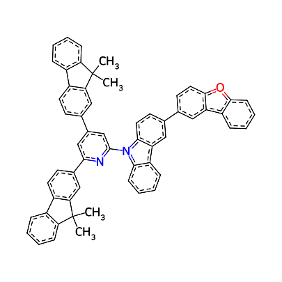 CC1(C)c2ccccc2-c2ccc(-c3cc(-c4ccc5c(c4)C(C)(C)c4ccccc4-5)nc(-n4c5ccccc5c5cc(-c6ccc7oc8ccccc8c7c6)ccc54)c3)cc21